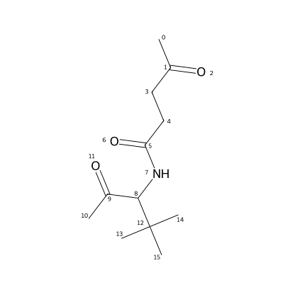 CC(=O)CCC(=O)NC(C(C)=O)C(C)(C)C